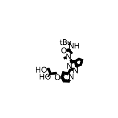 CN(CC(=O)NC(C)(C)C)c1nc(-c2cc(OC[C@@H](O)CO)ccn2)nc2c1CCC2